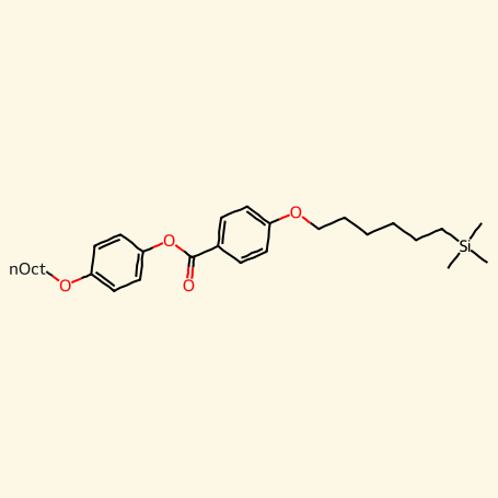 CCCCCCCCOc1ccc(OC(=O)c2ccc(OCCCCCC[Si](C)(C)C)cc2)cc1